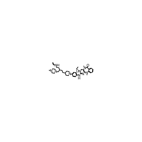 C=CNCCC(CCC1CCN(c2ccc(Nc3ncc4c(n3)N(C)c3ccccc3C(=O)N4C)c(OCC)c2)CC1)CN1CCN(C)CC1